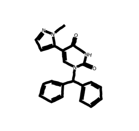 Cn1nccc1-c1cn(C(c2ccccc2)c2ccccc2)c(=O)[nH]c1=O